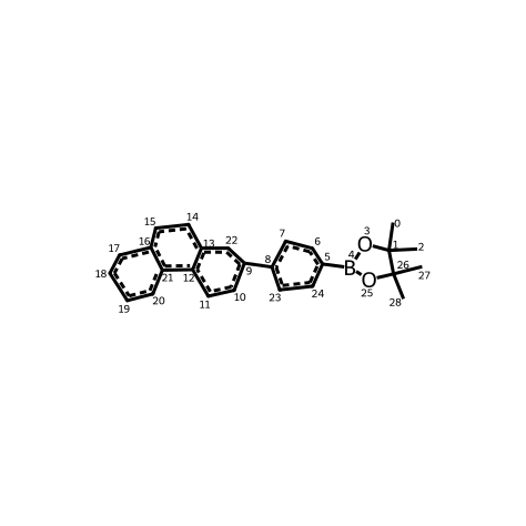 CC1(C)OB(c2ccc(-c3ccc4c(ccc5ccccc54)c3)cc2)OC1(C)C